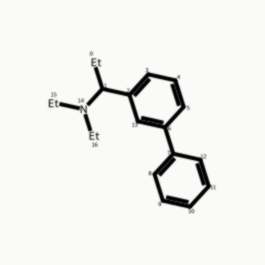 [CH2]CC(c1cccc(-c2ccccc2)c1)N(CC)CC